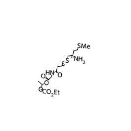 CCOC(=O)OC(C)OC(=O)CNC(=O)CCSSC[C@@H](N)CCSC